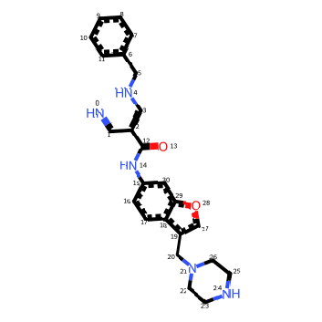 N=C/C(=C\NCc1ccccc1)C(=O)Nc1ccc2c(CN3CCNCC3)coc2c1